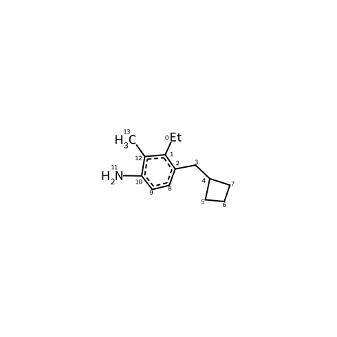 CCc1c(CC2CCC2)ccc(N)c1C